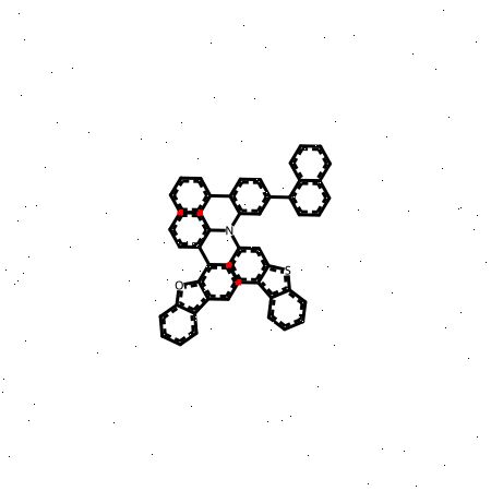 c1ccc(-c2ccc(-c3cccc4ccccc34)cc2N(c2ccc3c(c2)sc2ccccc23)c2ccccc2-c2cccc3c2oc2ccccc23)cc1